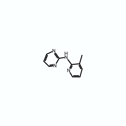 Cc1cccnc1Nc1ncccn1